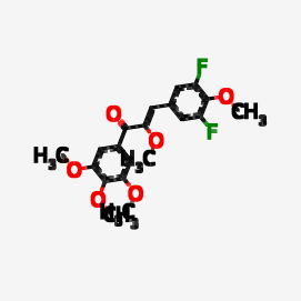 CO/C(=C\c1cc(F)c(OC)c(F)c1)C(=O)c1cc(OC)c(OC)c(OC)c1